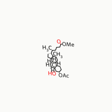 COC(=O)CCC[C@@H](C)[C@H]1CC[C@H]2[C@@H]3CC[C@H]4[C@H](O)[C@@H](OC(C)=O)CC[C@]4(C)[C@H]3CC[C@]12C